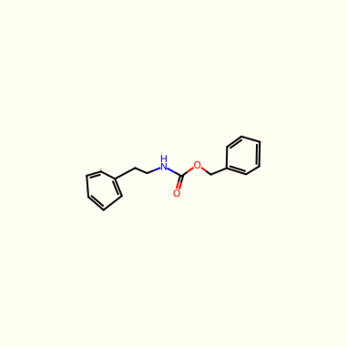 O=C(NCCc1[c]cccc1)OCc1ccccc1